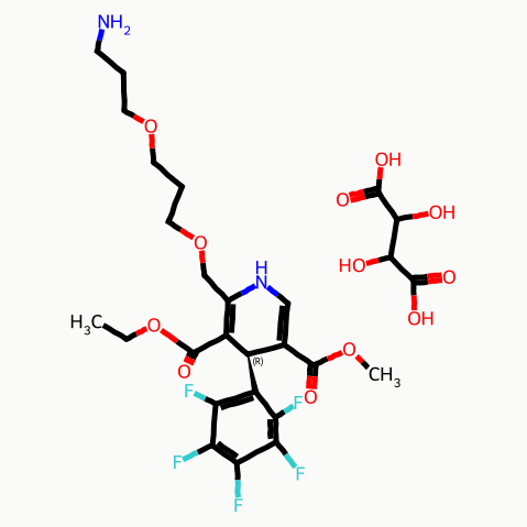 CCOC(=O)C1=C(COCCCOCCCN)NC=C(C(=O)OC)[C@H]1c1c(F)c(F)c(F)c(F)c1F.O=C(O)C(O)C(O)C(=O)O